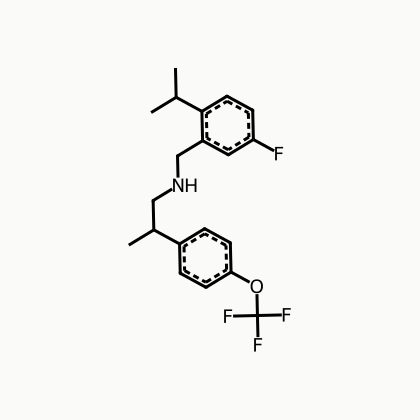 CC(C)c1ccc(F)cc1CNCC(C)c1ccc(OC(F)(F)F)cc1